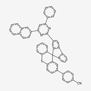 N#Cc1ccc(-c2ccc3c(c2)C2(c4ccccc4S3)c3ccccc3-c3ccc(-c4nc(-c5ccccc5)cc(-c5ccc6ccccc6c5)n4)cc32)cc1